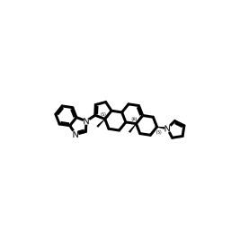 C[C@]12CC[C@H](N3C=CCC3)CC1=CCC1C2CC[C@]2(C)C(n3cnc4ccccc43)=CCC12